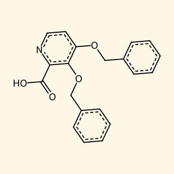 O=C(O)c1nccc(OCc2ccccc2)c1OCc1ccccc1